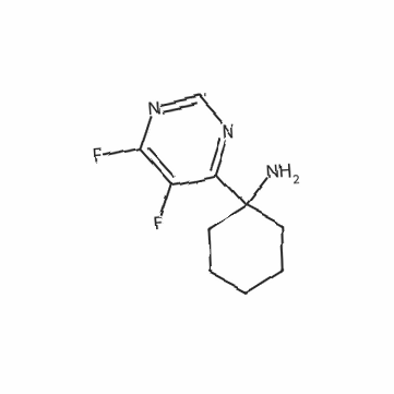 NC1(c2n[c]nc(F)c2F)CCCCC1